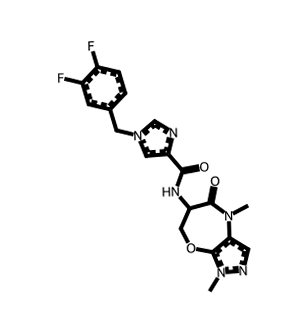 CN1C(=O)C(NC(=O)c2cn(Cc3ccc(F)c(F)c3)cn2)COc2c1cnn2C